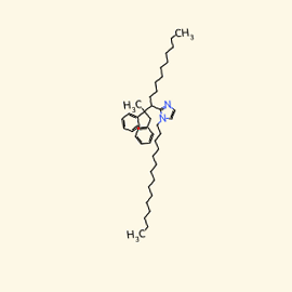 CCCCCCCCCCCCCCCn1ccnc1C(CCCCCCCCCC)C(C)(Cc1ccccc1)c1ccccc1